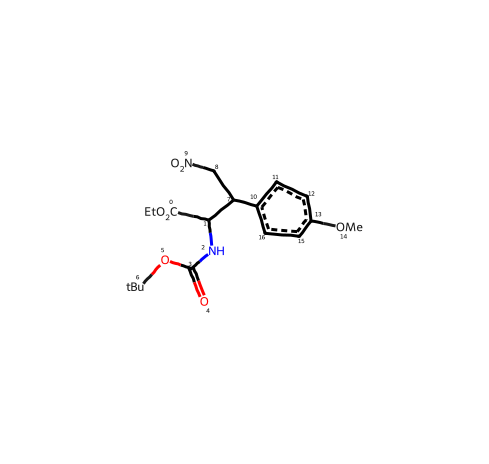 CCOC(=O)C(NC(=O)OC(C)(C)C)C(C[N+](=O)[O-])c1ccc(OC)cc1